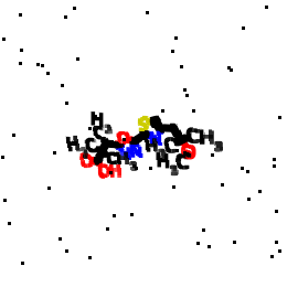 COC(C)(C)Cc1csc(-c2nnc(C(C)C(C)(C)C(=O)O)o2)n1